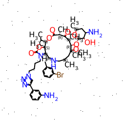 CC[C@H]1OC(=O)[C@H](C)C(=O)[C@H](C)[C@@H](O[C@@H]2O[C@H](C)CC(N)C2O)[C@](C)(OC)C[C@@H](C)CN[C@H](Cc2cccc(Br)c2)[C@H]2N(CCCCn3cc(-c4cccc(N)c4)nn3)C(=O)O[C@]12C